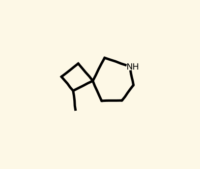 CC1CCC12CCCNC2